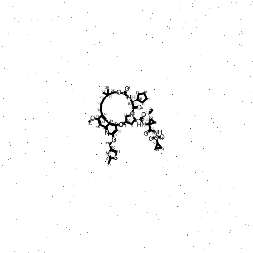 C=C[C@@H]1CC1(NC(=O)[C@@H]1C[C@@H]2CN1C(=O)[C@H](C1CCCC1)NC(=O)OCC(C)(C)CCCc1cc3c(cc(OCc4csc(C)n4)nc3cc1OC)O2)C(=O)NS(=O)(=O)C1CC1